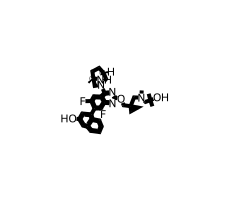 CN(CC(C)(C)O)CC1(COc2nc(N3C[C@H]4CC[C@@](C)(C3)N4)c3cc(F)c(-c4cc(O)cc5ccccc45)c(F)c3n2)CC1